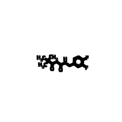 CC(C)(C)C(=O)CC(=O)NCc1ccc(F)c(F)c1